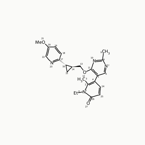 CCn1c(C)c(-c2cnc(C)nc2OC[C@H]2C[C@@H]2c2ccc(OC)cn2)ccc1=O